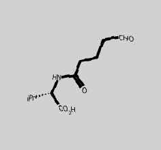 CC(C)[C@H](NC(=O)CCCC=O)C(=O)O